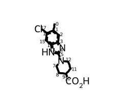 Cc1cc2nc(N3CCC(C(=O)O)CC3)[nH]c2cc1Cl